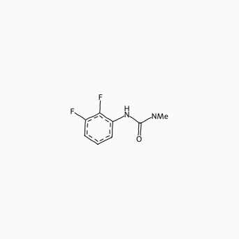 CNC(=O)Nc1cccc(F)c1F